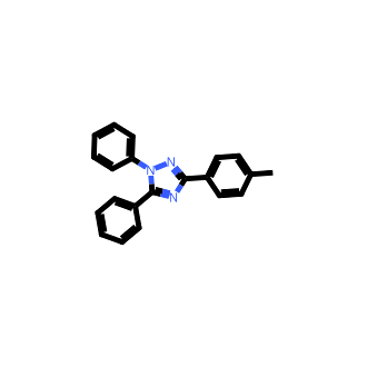 Cc1ccc(-c2nc(-c3ccccc3)n(-c3ccccc3)n2)cc1